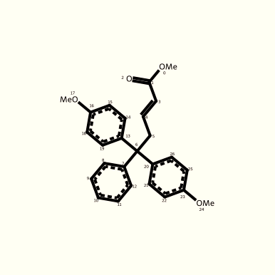 COC(=O)/C=C/CC(c1ccccc1)(c1ccc(OC)cc1)c1ccc(OC)cc1